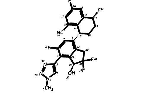 Cn1cc(-c2c(F)cc([C@H]3CC[C@H](F)c4cc(F)cc(C#N)c43)c3c2[C@H](O)C(F)(F)C3)nn1